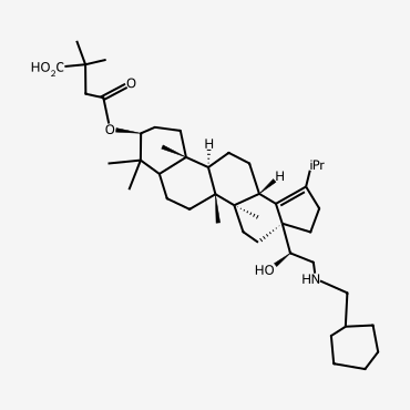 CC(C)C1=C2[C@H]3CC[C@@H]4[C@@]5(C)CC[C@H](OC(=O)CC(C)(C)C(=O)O)C(C)(C)C5CC[C@@]4(C)[C@]3(C)CC[C@@]2([C@H](O)CNCC2CCCCC2)CC1